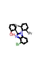 CC(C)c1cccc(C(C)C)c1-n1c(-c2ccccc2O)nc2c(Br)cccc21